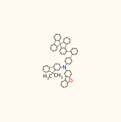 CC1(C)c2ccccc2-c2ccc(N(c3ccc(-c4ccccc4-c4cccc5c4-c4ccccc4C54c5ccccc5-c5ccccc54)cc3)c3ccc4oc5ccccc5c4c3)cc21